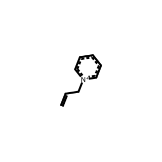 C=CC[n+]1ccccc1